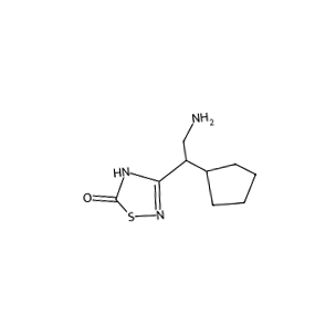 NCC(c1nsc(=O)[nH]1)C1CCCC1